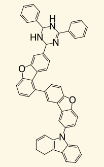 C1=Cc2c(c3ccccc3n2-c2ccc3oc4ccc(-c5cccc6oc7cc(C8N=C(c9ccccc9)NC(c9ccccc9)N8)ccc7c56)cc4c3c2)CC1